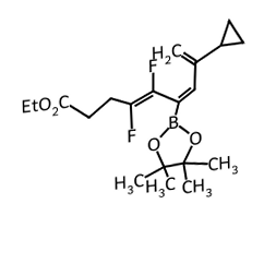 C=C(/C=C(B1OC(C)(C)C(C)(C)O1)\C(F)=C(/F)CCC(=O)OCC)C1CC1